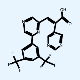 O=C(O)/C(=C/c1cncc(-c2cc(C(F)(F)F)cc(C(F)(F)F)c2)n1)c1cncnc1